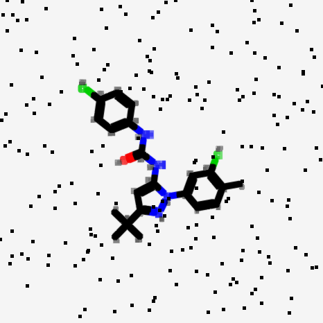 Cc1ccc(-n2nc(C(C)(C)C)cc2NC(=O)Nc2ccc(Cl)cc2)cc1Cl